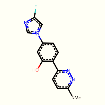 CNc1ccc(-c2ccc(-n3cnc(F)c3)cc2O)nn1